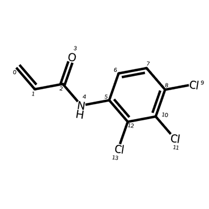 C=CC(=O)Nc1ccc(Cl)c(Cl)c1Cl